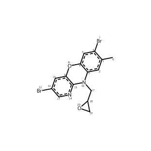 Cc1cc2c(cc1Br)Oc1cc(Br)cnc1N2CC1CO1